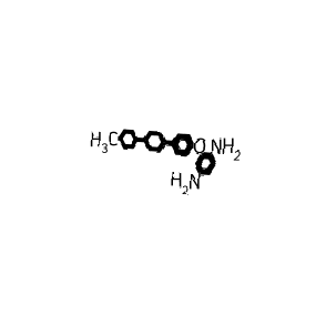 CC1CCC(C2CCC(c3ccc(Oc4cc(N)ccc4N)cc3)CC2)CC1